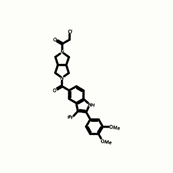 COc1ccc(-c2[nH]c3ccc(C(=O)N4CC5CN(C(=O)CCl)CC5C4)cc3c2C(C)C)cc1OC